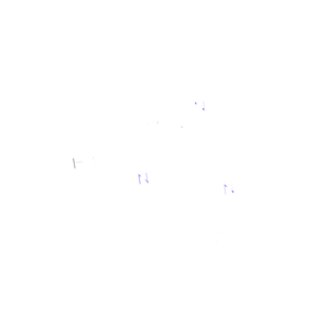 CCn1ccc2c(Cl)ncc(C(=O)N3CCCC3)c21